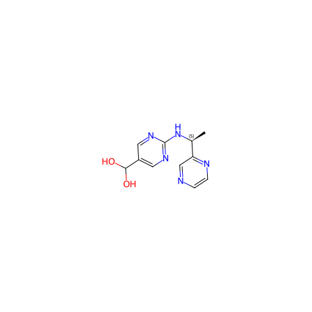 C[C@H](Nc1ncc(C(O)O)cn1)c1cnccn1